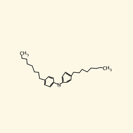 CCCCCCCCc1ccc([N]c2ccc(CCCCCCCC)cc2)cc1